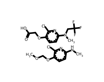 CN(CC(F)(F)F)c1ccc(OCC(=O)O)c(Cl)n1.CNc1ccc(OCOC)c(Cl)n1